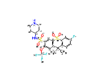 CC1(C)c2ccc(F)cc2S(=O)(=O)c2cc(S(=O)(=O)NC3CCNCC3)c(OC(F)(F)F)cc21